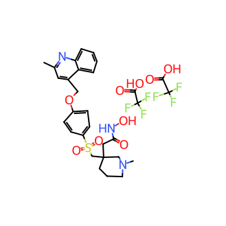 Cc1cc(COc2ccc(S(=O)(=O)CC3(CC(=O)NO)CCCN(C)C3)cc2)c2ccccc2n1.O=C(O)C(F)(F)F.O=C(O)C(F)(F)F